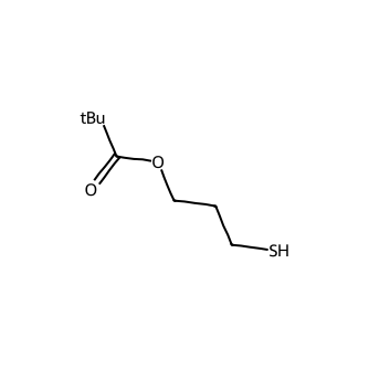 CC(C)(C)C(=O)OCCCS